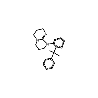 CC(C)(c1ccccc1)c1ccccc1N1CCCN2CCCN=C21